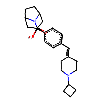 CC(=O)N1C2CCC1CC(O)(c1ccc(C=C3CCN(C4CCC4)CC3)cc1)C2